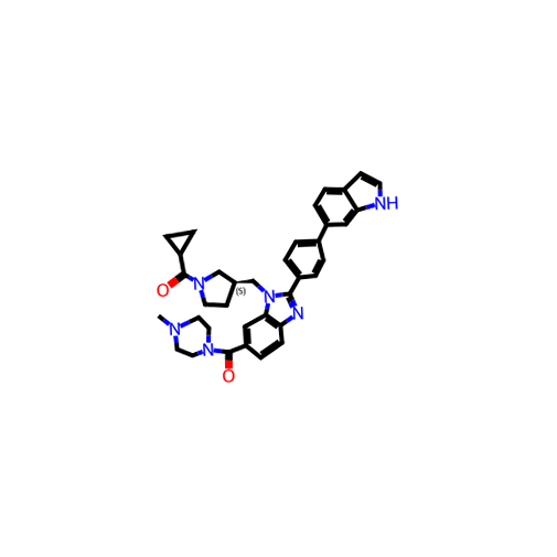 CN1CCN(C(=O)c2ccc3nc(-c4ccc(-c5ccc6cc[nH]c6c5)cc4)n(C[C@H]4CCN(C(=O)C5CC5)C4)c3c2)CC1